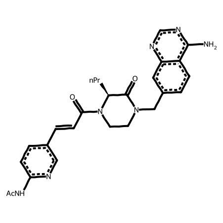 CCC[C@H]1C(=O)N(Cc2ccc3c(N)ncnc3c2)CCN1C(=O)C=Cc1ccc(NC(C)=O)nc1